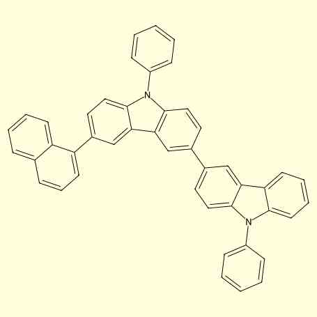 c1ccc(-n2c3ccccc3c3cc(-c4ccc5c(c4)c4cc(-c6cccc7ccccc67)ccc4n5-c4ccccc4)ccc32)cc1